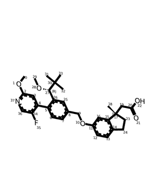 COc1cc(-c2ccc(COc3ccc4c(c3)[C@](C)(CC(=O)O)CC4)cc2[C@H](OC)C(C)(C)C)c(F)cn1